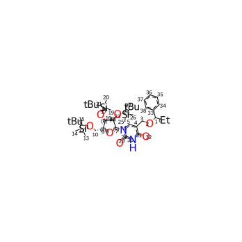 CCC(OCc1cn([C@@H]2O[C@H](CO[Si](C)(C)C(C)(C)C)[C@@H](O[Si](C)(C)C(C)(C)C)[C@H]2O[Si](C)(C)C(C)(C)C)c(=O)[nH]c1=O)c1ccccc1